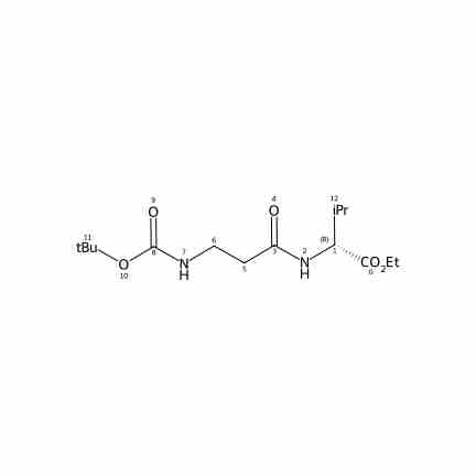 CCOC(=O)[C@H](NC(=O)CCNC(=O)OC(C)(C)C)C(C)C